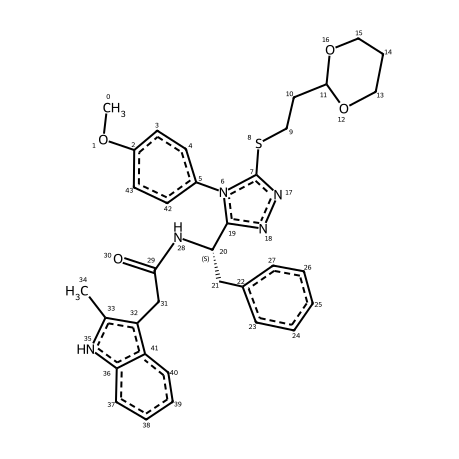 COc1ccc(-n2c(SCCC3OCCCO3)nnc2[C@H](Cc2ccccc2)NC(=O)Cc2c(C)[nH]c3ccccc23)cc1